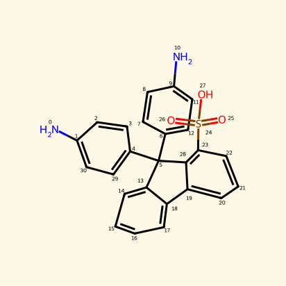 Nc1ccc(C2(c3ccc(N)cc3)c3ccccc3-c3cccc(S(=O)(=O)O)c32)cc1